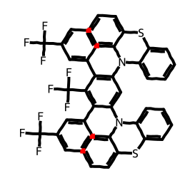 FC(F)(F)c1cccc(-c2c(N3c4ccccc4Sc4ccccc43)cc(N3c4ccccc4Sc4ccccc43)c(-c3cccc(C(F)(F)F)c3)c2C(F)(F)F)c1